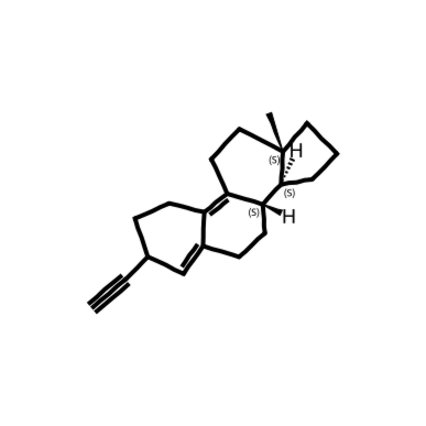 C#CC1C=C2CC[C@@H]3C(=C2CC1)CC[C@]1(C)CCC[C@@H]31